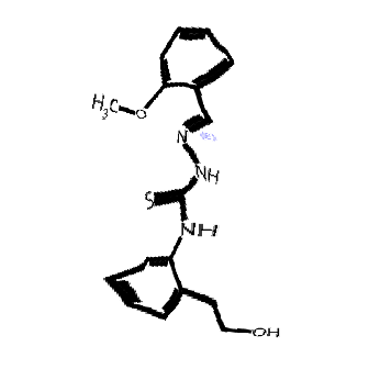 COc1ccccc1/C=N/NC(=S)Nc1ccccc1CCO